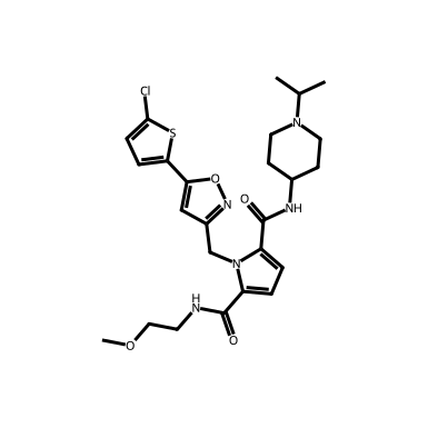 COCCNC(=O)c1ccc(C(=O)NC2CCN(C(C)C)CC2)n1Cc1cc(-c2ccc(Cl)s2)on1